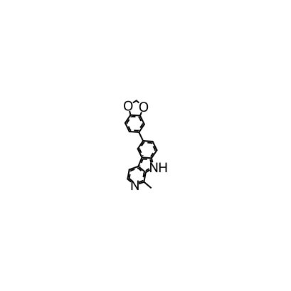 Cc1nccc2c1[nH]c1ccc(-c3ccc4c(c3)OCO4)cc12